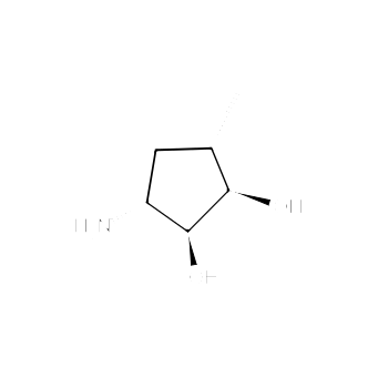 C[C@H]1C[C@@H](N)[C@H](O)[C@@H]1O